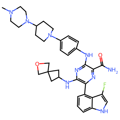 CN1CCN(C2CCN(c3ccc(Nc4nc(NC5CC6(COC6)C5)c(-c5cccc6[nH]cc(F)c56)nc4C(N)=O)cc3)CC2)CC1